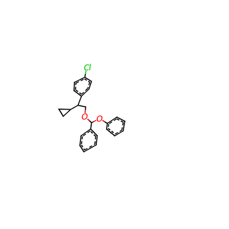 Clc1ccc(C(COC(Oc2ccccc2)c2ccccc2)C2CC2)cc1